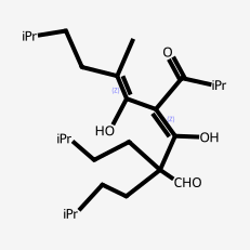 C/C(CCC(C)C)=C(O)\C(C(=O)C(C)C)=C(\O)C(C=O)(CCC(C)C)CCC(C)C